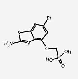 CCc1cc(OCP(=O)(O)O)c2nc(N)sc2c1